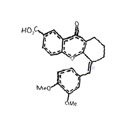 COc1ccc(/C=C2/CCCc3c2oc2ccc(C(=O)O)cc2c3=O)cc1OC